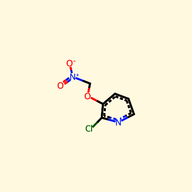 O=[N+]([O-])COc1cccnc1Cl